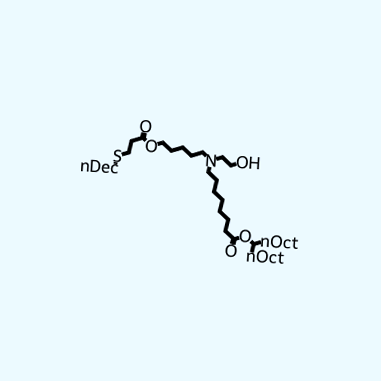 CCCCCCCCCCSCCC(=O)OCCCCCN(CCO)CCCCCCCC(=O)OC(CCCCCCCC)CCCCCCCC